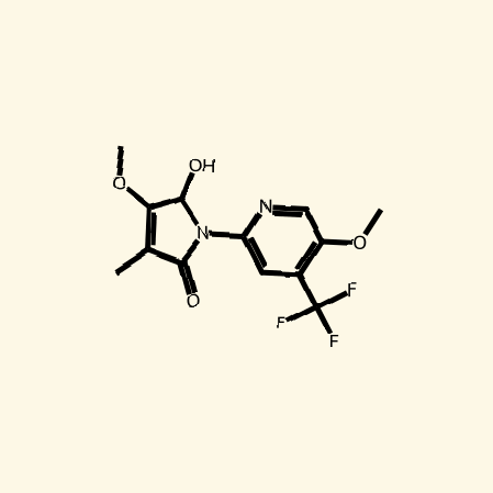 COC1=C(C)C(=O)N(c2cc(C(F)(F)F)c(OC)cn2)C1O